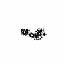 O=C(NO)C1C(O)CCCN1S(=O)(=O)c1ccc(OCc2nnn[nH]2)cc1